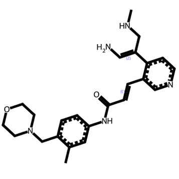 CNC/C(=C\N)c1ccncc1/C=C/C(=O)Nc1ccc(CN2CCOCC2)c(C)c1